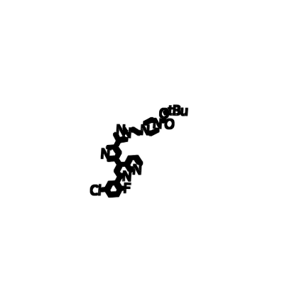 CC(C)(C)OC(=O)N1CCN(CCn2cc(-c3cncc(-c4cc(-c5cc(Cl)ccc5F)nc5ncccc45)c3)cn2)CC1